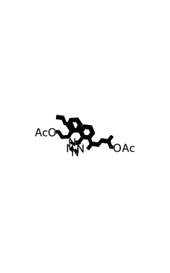 C=CC/C=C(\C)c1cccc(/C(C)=C\C=C(\C)COC(C)=O)c1-c1nnnn1C(CCOC(C)=O)c1ccccc1